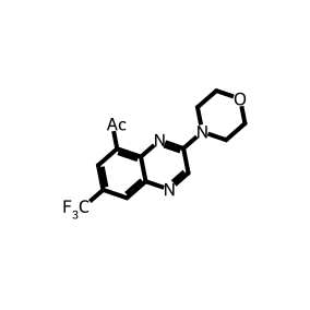 CC(=O)c1cc(C(F)(F)F)cc2ncc(N3CCOCC3)nc12